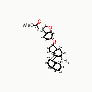 COC(=O)C[C@@H]1COc2cc(O[C@@H]3CCc4c(-c5cccc6cccc(C)c56)cccc43)ccc21